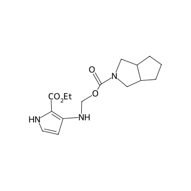 CCOC(=O)c1[nH]ccc1NCOC(=O)N1CC2CCCC2C1